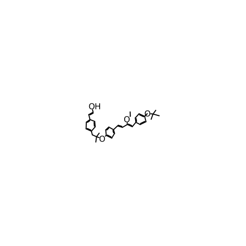 CCOC(C=Cc1ccc(OC(C)(C)Cc2ccc(C=CO)cc2)cc1)=Cc1ccc(OC(C)(C)C)cc1